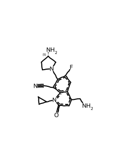 N#Cc1c(N2CC[C@H](N)C2)c(F)cc2c(CN)cc(=O)n(C3CC3)c12